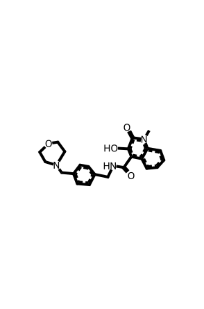 Cn1c(=O)c(O)c(C(=O)NCc2ccc(CN3CCOCC3)cc2)c2ccccc21